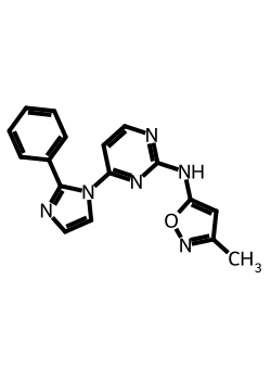 Cc1cc(Nc2nccc(-n3ccnc3-c3ccccc3)n2)on1